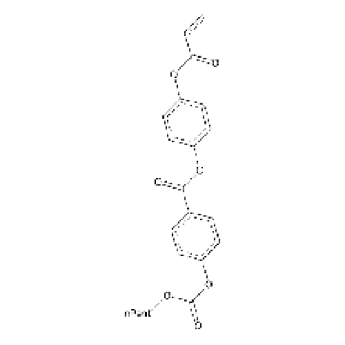 C=CC(=O)Oc1ccc(OC(=O)c2ccc(OC(=O)OCCCCC)cc2)cc1